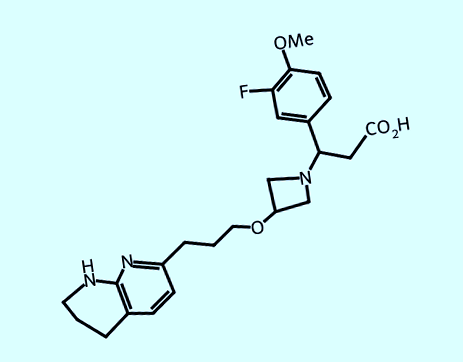 COc1ccc(C(CC(=O)O)N2CC(OCCCc3ccc4c(n3)NCCC4)C2)cc1F